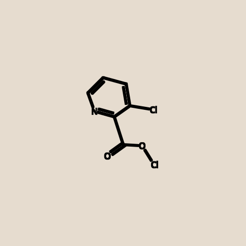 O=C(OCl)c1ncccc1Cl